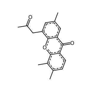 CC(=O)Cc1cc(C)cc2c(=O)c3ccc(C)c(C)c3oc12